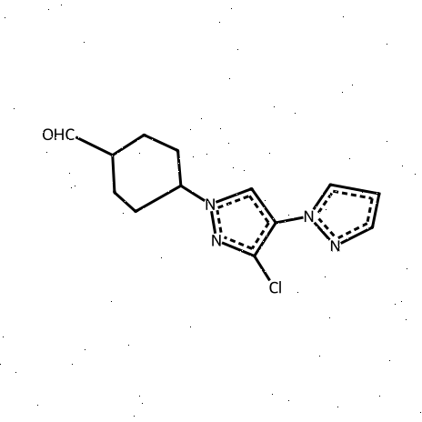 O=CC1CCC(n2cc(-n3cccn3)c(Cl)n2)CC1